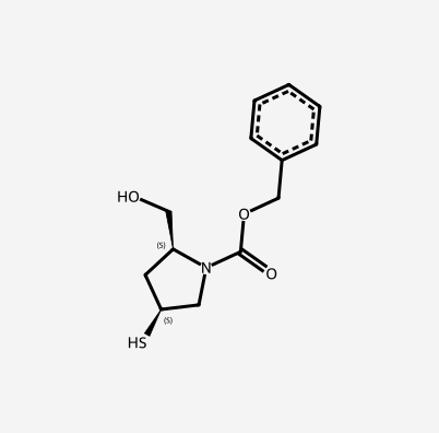 O=C(OCc1ccccc1)N1C[C@@H](S)C[C@H]1CO